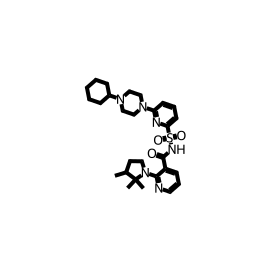 CC1CCN(c2ncccc2C(=O)NS(=O)(=O)c2cccc(N3CCN(C4CCCCC4)CC3)n2)C1(C)C